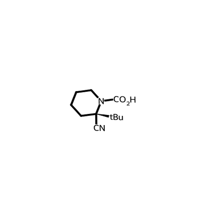 CC(C)(C)[C@@]1(C#N)CCCCN1C(=O)O